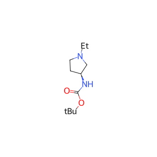 CCN1CC[C@H](NC(=O)OC(C)(C)C)C1